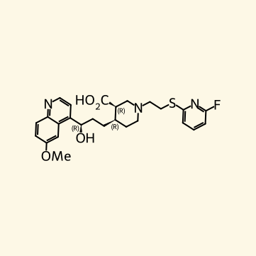 COc1ccc2nccc([C@H](O)CC[C@@H]3CCN(CCSc4cccc(F)n4)C[C@@H]3C(=O)O)c2c1